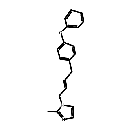 Cc1nccn1CC=CCc1ccc(Oc2ccccc2)cc1